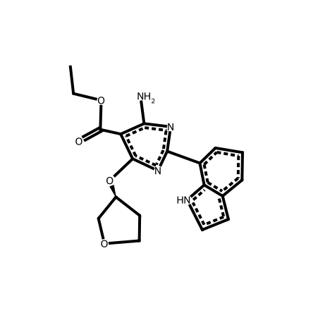 CCOC(=O)c1c(N)nc(-c2cccc3cc[nH]c23)nc1O[C@H]1CCOC1